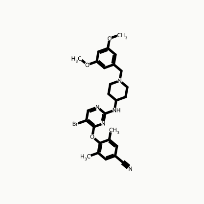 COc1cc(CN2CCC(Nc3ncc(Br)c(Oc4c(C)cc(C#N)cc4C)n3)CC2)cc(OC)c1